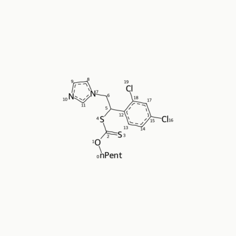 CCCCCOC(=S)SC(Cn1ccnc1)c1ccc(Cl)cc1Cl